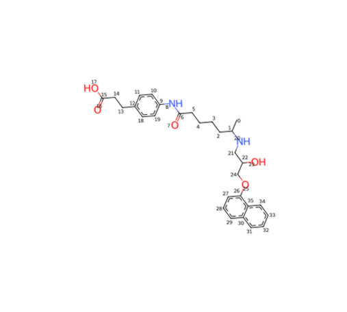 CC(CCCCC(=O)Nc1ccc(CCC(=O)O)cc1)NCC(O)COc1cccc2ccccc12